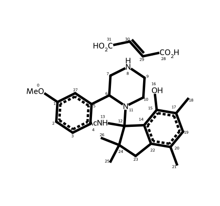 COc1cccc(C2CNCCN2C2(NC(C)=O)c3c(O)c(C)cc(C)c3CC2(C)C)c1.O=C(O)C=CC(=O)O